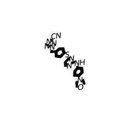 N#Cc1nnn(Cc2ccc(Sc3ccnc(Nc4ccc(N5CCOCC5)cc4)n3)cc2)n1